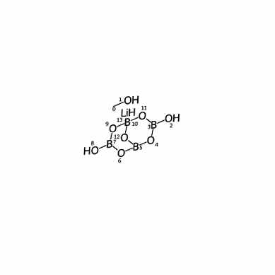 CO.OB1OB2OB(O)OB(O1)O2.[LiH]